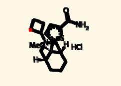 CO[C@@]1(c2ccc(C(N)=O)s2)[C@@H]2CCC[C@H]1CN(C13CC(C1)C3)C2.Cl